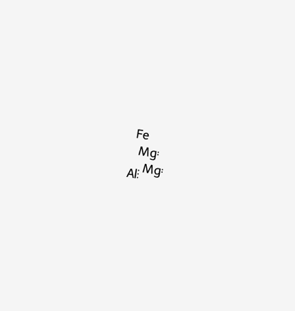 [Al].[Fe].[Mg].[Mg]